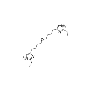 CCc1nc(CCCCOCCCCc2c[nH]c(CC)n2)c[nH]1